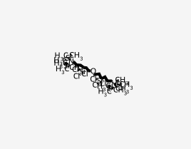 C[Si](C)(C)N(CCCC(CCOCCC(CCCN([Si](C)(C)C)[Si](C)(C)C)[Si](Cl)(Cl)Cl)[Si](Cl)(Cl)Cl)[Si](C)(C)C